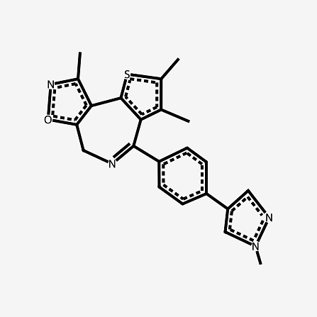 Cc1noc2c1-c1sc(C)c(C)c1C(c1ccc(-c3cnn(C)c3)cc1)=NC2